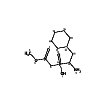 COC(=O)CP(=O)(O)C(N)CC1CCCCC1